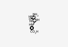 Nc1nc2c(c(=O)[nH]1)N[C@H](CNc1ccc(C(=O)O)cc1)CN2